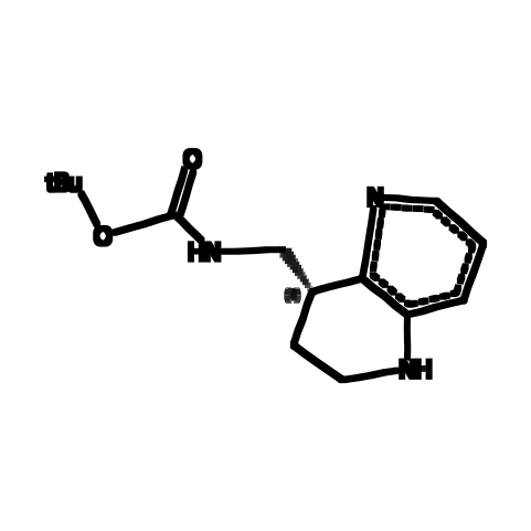 CC(C)(C)OC(=O)NC[C@H]1CCNc2cccnc21